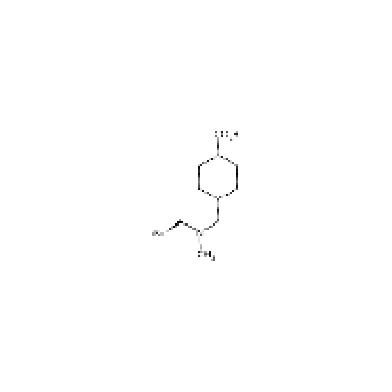 CC[C@H](C)CN(C)CC1CCC(C(=O)O)CC1